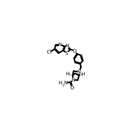 NC(=O)N1C[C@H]2C[C@@H]1CN2Cc1ccc(Oc2nc3ncc(Cl)cc3s2)cc1